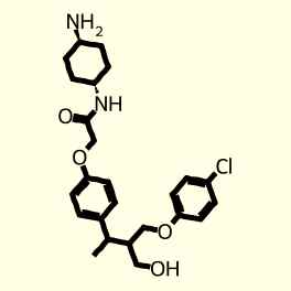 CC(c1ccc(OCC(=O)N[C@H]2CC[C@H](N)CC2)cc1)C(CO)COc1ccc(Cl)cc1